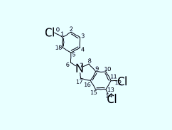 Clc1cccc(CN2Cc3cc(Cl)c(Cl)cc3C2)c1